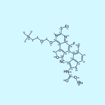 CCSc1nc(OCOCC[Si](C)(C)C)c2c3c(c(-c4c(F)ccc5sc(NC(=O)OC(C)(C)C)c(C#N)c45)c(F)c2n1)COC3